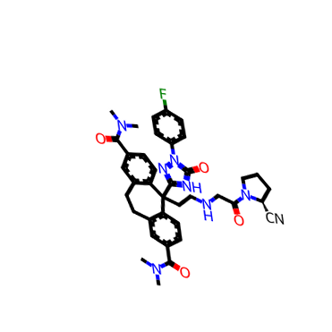 CN(C)C(=O)c1ccc2c(c1)CCc1cc(C(=O)N(C)C)ccc1C2(CCNCC(=O)N1CCC[C@H]1C#N)c1nn(-c2ccc(F)cc2)c(=O)[nH]1